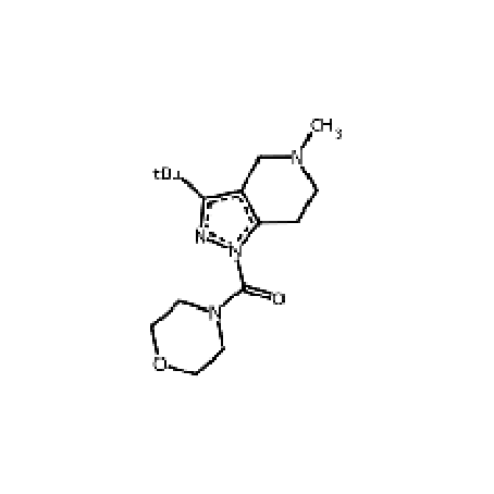 CN1CCc2c(c(C(C)(C)C)nn2C(=O)N2CCOCC2)C1